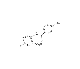 CCCCc1ccc(C(=O)Nc2ccc(I)cc2C(=O)O)cc1